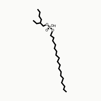 CCCCCCCCCCCCCCCCCCOP(=O)(O)OCC(CC)CCCC